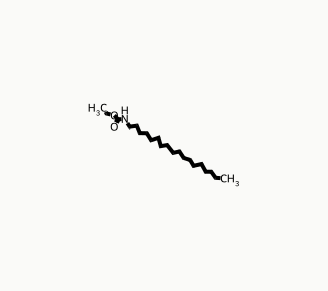 CCCCCCCCCCCCCCCCC[CH]NC(=O)OCC